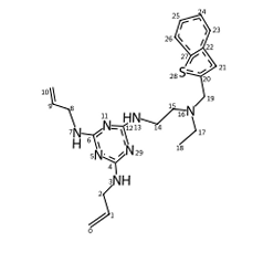 C=CCNc1nc(NCC=C)nc(NCCN(CC)Cc2cc3ccccc3s2)n1